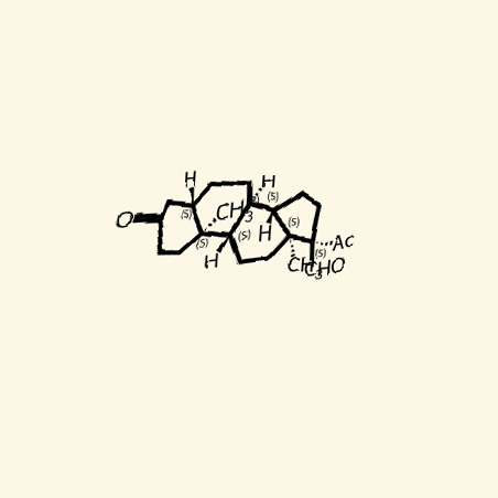 CC(=O)[C@@]1(C=O)CC[C@H]2[C@@H]3CC[C@H]4CC(=O)CC[C@]4(C)[C@H]3CC[C@@]21C